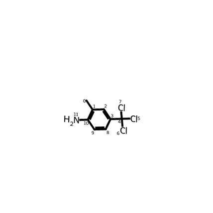 Cc1cc(C(Cl)(Cl)Cl)ccc1N